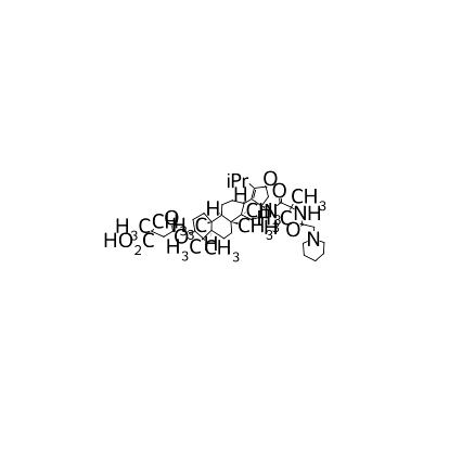 CC(C)C1=C2[C@H]3CC[C@@H]4[C@@]5(C)CC[C@H](OC(=O)CC(C)(C)C(=O)O)C(C)(C)[C@@H]5CC[C@@]4(C)[C@]3(C)CC[C@@]2(NC(=O)C(C)(C)NC(=O)CN2CCCCC2)CC1=O